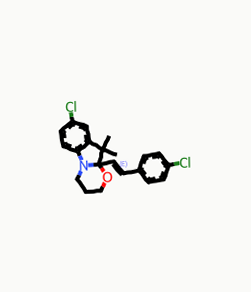 CC1(C)c2cc(Cl)ccc2N2CCCOC21/C=C/c1ccc(Cl)cc1